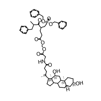 CC(Cc1ccccc1)C(=O)C(CCC(=O)OCOC(=O)CNC(=O)CC[C@@H](C)C1CCC2C3CC[C@@H]4C[C@H](O)CC[C@]4(C)C3C[C@H](O)[C@@]21C)CP(=O)(OCc1ccccc1)OCc1ccccc1